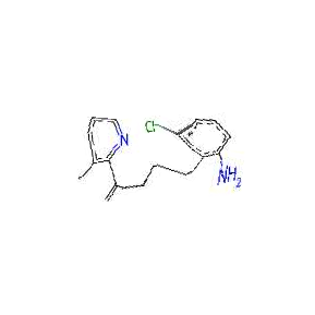 C=C(CCCc1c(N)cccc1Cl)c1ncccc1C